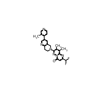 Cc1cnccc1-c1cnc2c(c1)CN(c1nn3c(=O)cc(C(F)F)nc3c(C)c1C)CC2